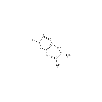 C[C@@H](OC1=CCC(F)C=C1)C(=O)O